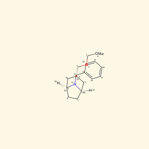 COCOC[C@@H]1C[C@H]2CC[C@@H](C1)N2Cc1ccccc1